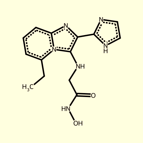 CCc1cccc2nc(-c3ncc[nH]3)c(NCC(=O)NO)n12